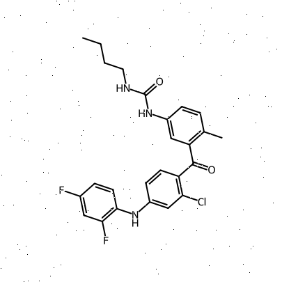 CCCCNC(=O)Nc1ccc(C)c(C(=O)c2ccc(Nc3ccc(F)cc3F)cc2Cl)c1